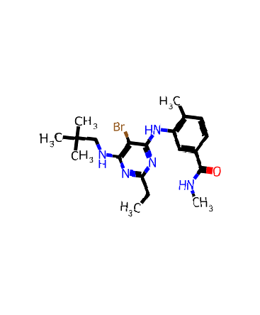 CCc1nc(NCC(C)(C)C)c(Br)c(Nc2cc(C(=O)NC)ccc2C)n1